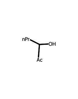 CCCC(O)C(C)=O